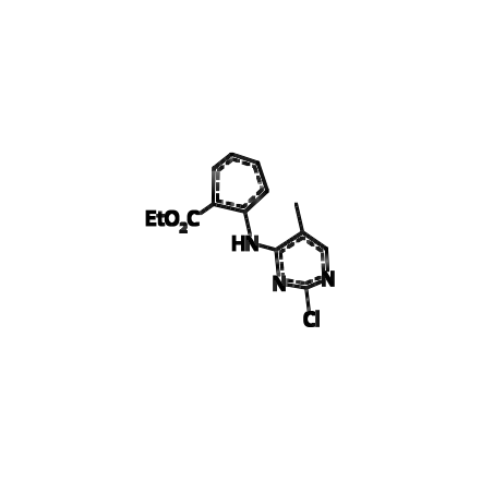 CCOC(=O)c1ccccc1Nc1nc(Cl)ncc1C